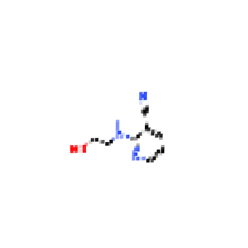 N#Cc1cccnc1NCCO